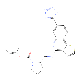 C/C=C(\C)OC(=O)N1CCCC1CNc1nc2cc(-c3nnn[nH]3)ccc2c2sccc12